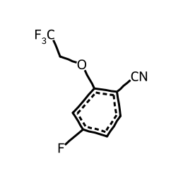 N#Cc1ccc(F)cc1OCC(F)(F)F